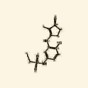 CC1=C(Nc2cc(NS(=O)(=O)CI)ccc2Cl)CCC1=O